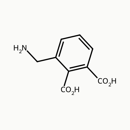 NCc1cccc(C(=O)O)c1C(=O)O